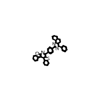 c1ccc(-c2nc(-c3ccc(-c4nc5oc6ccccc6c5c5c4sc4ccccc45)cc3)nc3c2ccc2ccccc23)cc1